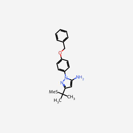 CSC(C)(C)c1cc(N)n(-c2ccc(OCc3ccccc3)cc2)n1